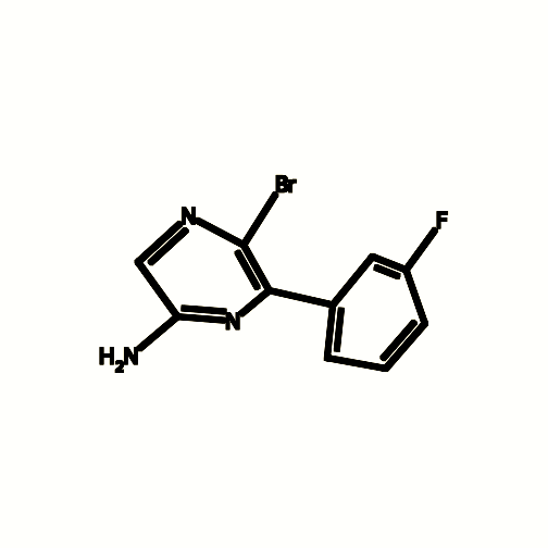 Nc1cnc(Br)c(-c2cccc(F)c2)n1